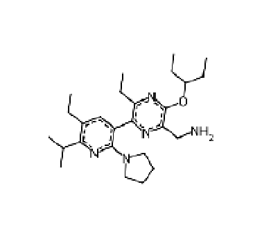 CCc1cc(-c2nc(CN)c(OC(CC)CC)nc2CC)c(N2CCCC2)nc1C(C)C